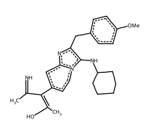 COc1ccc(Cc2nc3cc(/C(C(C)=N)=C(\C)O)ccn3c2NC2CCCCC2)cc1